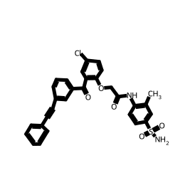 Cc1cc(S(N)(=O)=O)ccc1NC(=O)COc1ccc(Cl)cc1C(=O)c1cccc(C#Cc2ccccc2)c1